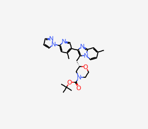 Cc1ccn2c(C[C@H]3CN(C(=O)OC(C)(C)C)CCO3)c(-c3cnc(-n4cccn4)cc3C)nc2c1